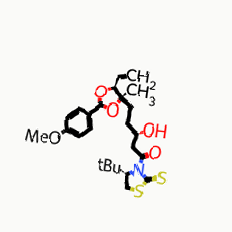 C=C[C@@H]1OC(c2ccc(OC)cc2)O[C@]1(C)CC[C@H](O)CC(=O)N1C(=S)SC[C@@H]1C(C)(C)C